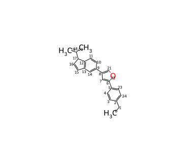 CCc1ccc(-c2cc(-c3ccc4c(c3)C=CC4C(C)C)co2)cc1